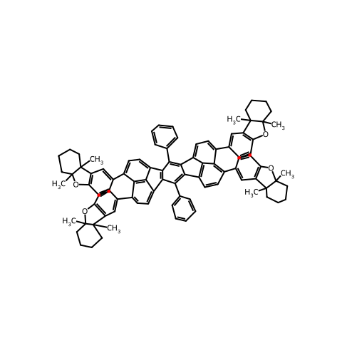 CC12CCCCC1(C)c1cc(-c3ccc4c5c(-c6ccccc6)c6c7ccc(-c8ccc9c(c8)C8(C)CCCCC8(C)O9)c8c(-c9ccc%10c(c9)C9(C)CCCCC9(C)O%10)ccc(c6c(-c6ccccc6)c5c5ccc(-c6ccc9c(c6)C6(C)CCCCC6(C)O9)c3c45)c87)ccc1O2